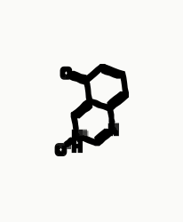 O=C1C=CC=C2N=C[NH+]([O-])C=C12